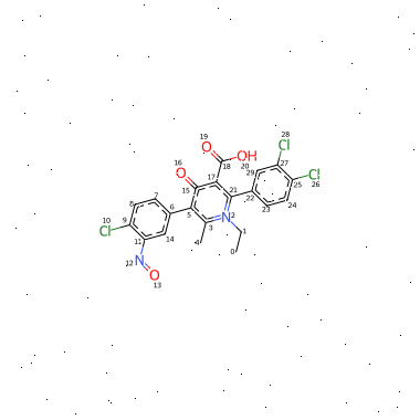 CCn1c(C)c(-c2ccc(Cl)c(N=O)c2)c(=O)c(C(=O)O)c1-c1ccc(Cl)c(Cl)c1